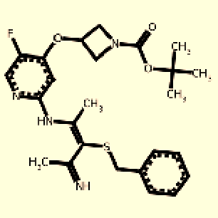 CC(=N)/C(SCc1ccccc1)=C(/C)Nc1cc(OC2CN(C(=O)OC(C)(C)C)C2)c(F)cn1